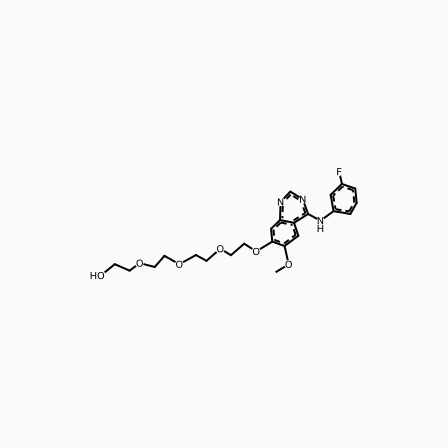 COc1cc2c(Nc3cccc(F)c3)ncnc2cc1OCCOCCOCCOCCO